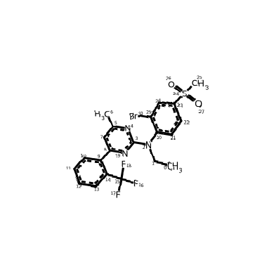 CCN(c1nc(C)cc(-c2ccccc2C(F)(F)F)n1)c1ccc(S(C)(=O)=O)cc1Br